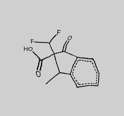 CC1c2ccccc2C(=O)C1(C(=O)O)C(F)F